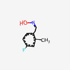 Cc1cc(F)ccc1/C=N\O